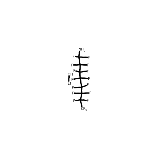 CCO.NC(F)(F)C(F)(F)C(F)(F)C(F)(F)C(F)(F)C(F)(F)C(F)(F)C(F)(F)F